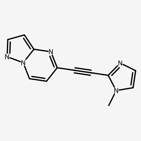 Cn1ccnc1C#Cc1ccn2nccc2n1